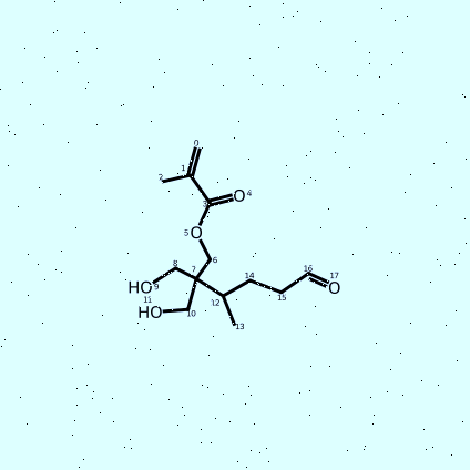 C=C(C)C(=O)OCC(CO)(CO)C(C)CCC=O